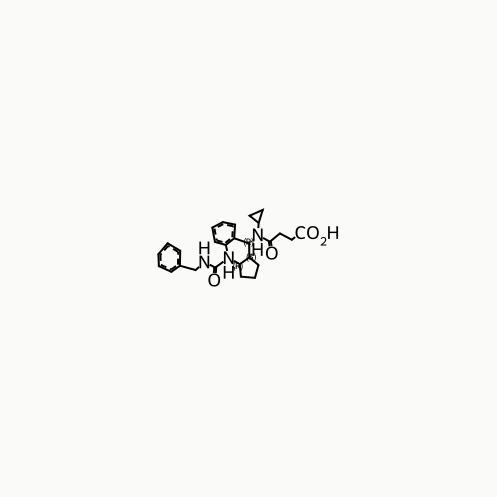 O=C(O)CCC(=O)N(C1CC1)[C@H]1c2ccccc2N(C(=O)NCc2ccccc2)[C@@H]2CCC[C@@H]21